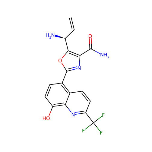 C=C[C@H](N)c1oc(-c2ccc(O)c3nc(C(F)(F)F)ccc23)nc1C(N)=O